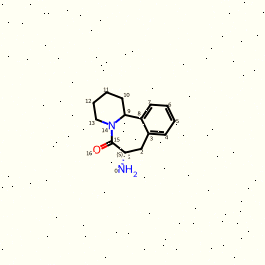 N[C@H]1Cc2ccccc2C2CCCCN2C1=O